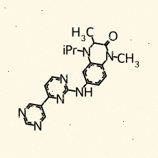 CC(C)N1c2cc(Nc3nccc(-c4cncnc4)n3)ccc2N(C)C(=O)C1C